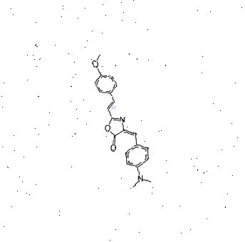 COc1ccc(/C=C/C2=NC(=Cc3ccc(N(C)C)cc3)C(=O)O2)cc1